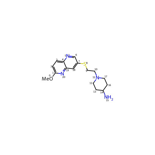 COc1ccc2ncc(SCCN3CCC(N)CC3)cc2n1